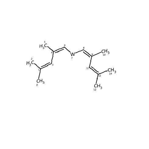 CC(C)=C/C(C)=[CH]\[W]/[CH]=C(/C)C=C(C)C